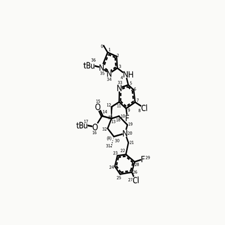 Cc1cc(Nc2cc(Cl)c(F)c(C[C@@]3(C(=O)OC(C)(C)C)CCN(Cc4cccc(Cl)c4F)[C@H](C)C3)n2)nn1C(C)(C)C